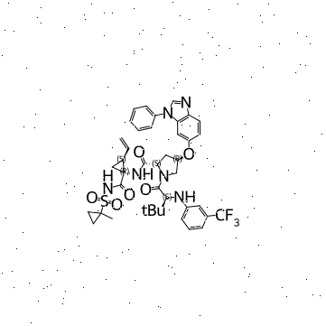 C=C[C@@H]1C[C@]1(NC(=O)[C@@H]1C[C@@H](Oc2ccc3ncn(-c4ccccc4)c3c2)CN1C(=O)[C@@H](Nc1cccc(C(F)(F)F)c1)C(C)(C)C)C(=O)NS(=O)(=O)C1(C)CC1